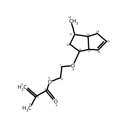 C=C(C)C(=O)OCCOC1CC(C)C2CC=CC12